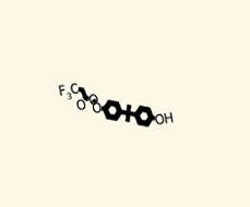 CC(C)(c1ccc(O)cc1)c1ccc(OOC(=O)CC(F)(F)F)cc1